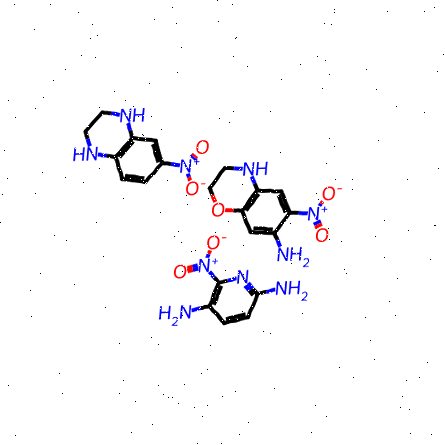 Nc1cc2c(cc1[N+](=O)[O-])NCCO2.Nc1ccc(N)c([N+](=O)[O-])n1.O=[N+]([O-])c1ccc2c(c1)NCCN2